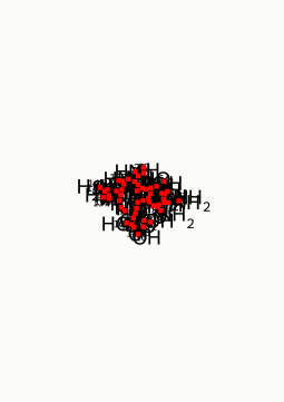 C=CN/C=N\C[C@H](NC(=O)CNC(=O)[C@@H](NC(=O)[C@H](C)NC(=O)[C@H](Cc1c[nH]c2ccccc12)NC(=O)[C@H](CCC(N)=O)NC(=O)[C@H](CC(N)=O)NC(=O)CNC(=O)[C@H](Cc1ccc(O)cc1)NC(=O)[C@H](CCCNC(=N)N)NC(=O)[C@H](CCC(N)=O)NC(=O)c1ccc(NC(=O)CNC(=O)CN2CCN(CC(=O)O)CCN(CC(=O)O)CCN(CC(=O)O)CC2)cc1)C(C)C)C(=O)N[C@@H](CC(C)C)C(=O)N[C@@H](CCSC)C(N)=O